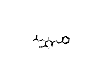 C=C(C)OC[C@H](NC(=O)OCc1ccccc1)C(=O)O